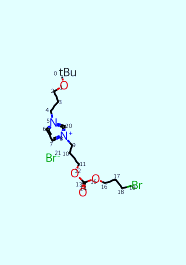 CC(C)(C)OCCCn1cc[n+](CCCOC(=O)OCCCBr)c1.[Br-]